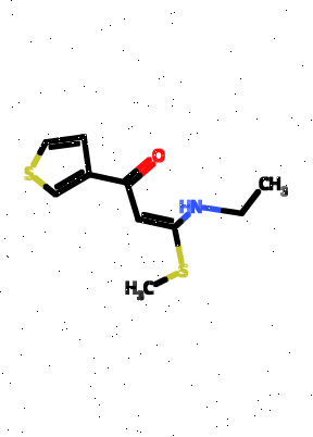 CCN/C(=C\C(=O)c1ccsc1)SC